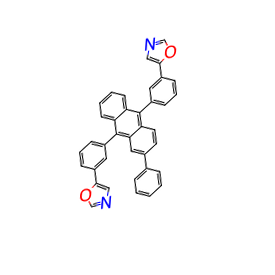 c1ccc(-c2ccc3c(-c4cccc(-c5cnco5)c4)c4ccccc4c(-c4cccc(-c5cnco5)c4)c3c2)cc1